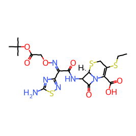 CCSC1=C(C(=O)O)N2C(=O)C(NC(=O)/C(=N/OCC(=O)OC(C)(C)C)c3nsc(N)n3)[C@H]2SC1